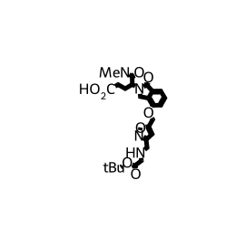 CNC(=O)C(CCC(=O)O)N1Cc2c(OCc3cc(CNCC(=O)OC(C)(C)C)no3)cccc2C1=O